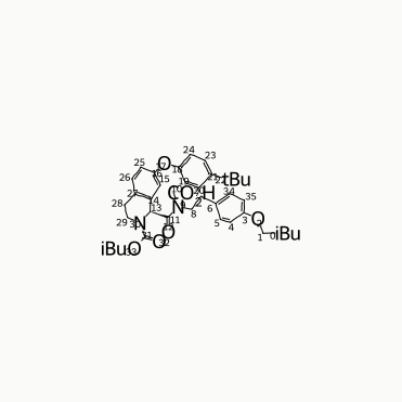 CCC(C)COc1ccc(CCN(C(=O)O)C(=O)[C@@H]2c3cc(Oc4ccc(C(C)(C)C)cc4)ccc3CCN2C(=O)OCC(C)C)cc1